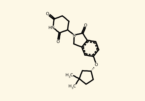 CC1(C)CC[C@@H](Oc2ccc3c(c2)CN(C2CCC(=O)NC2=O)C3=O)C1